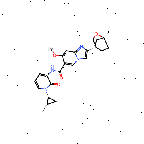 CC(C)Oc1cc2nc([C@@]34CC[C@@](C)(C3)OC4)cn2cc1C(=O)Nc1cccn([C@@H]2C[C@@H]2C)c1=O